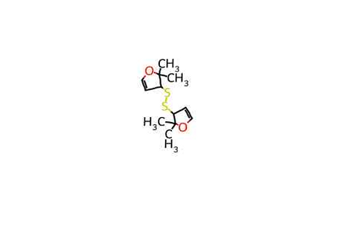 CC1(C)OC=CC1SSC1C=COC1(C)C